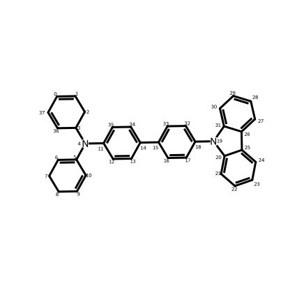 C1=CCC(N(C2=CCCC=C2)c2ccc(-c3ccc(-n4c5ccccc5c5ccccc54)cc3)cc2)C=C1